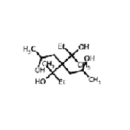 CCC(C)(O)C(CC(C)O)(CC(C)O)C(C)(O)CC